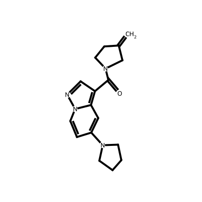 C=C1CCN(C(=O)c2cnn3ccc(N4CCCC4)cc23)C1